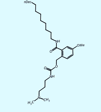 CCCCCCCCCCCCCCCCCCNC(=O)c1cc(OC)ccc1COC(=O)NCCCN(C)C